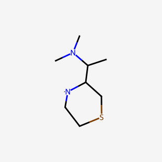 CC(C1CSCC[N]1)N(C)C